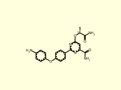 C[C@H](Oc1cc(C(N)=O)nc(-c2ccc(Oc3ccc(N)cc3)cc2)n1)C(N)=O